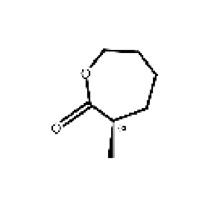 C[C@@H]1CCCCOC1=O